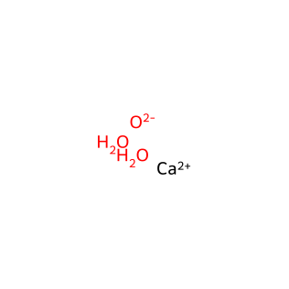 O.O.[Ca+2].[O-2]